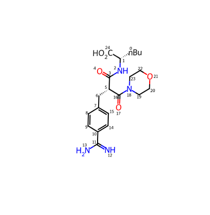 CCCC[C@H](NC(=O)[C@@H](Cc1ccc(C(=N)N)cc1)C(=O)N1CCOCC1)C(=O)O